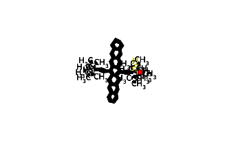 CC[SH](C)(C)(C)[Si](C#Cc1c2cc3cc4ccccc4cc3cc2c(C#C[SiH]([Si](C)(C)C)[Si](C)(C)C)c2cc3cc4ccccc4cc3cc12)([Si](C)(C)C)[Si](C)(C)C